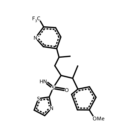 COc1ccc(C(C)C(CC(C)c2ccc(C(F)(F)F)nc2)S(=N)(=O)c2nccs2)cc1